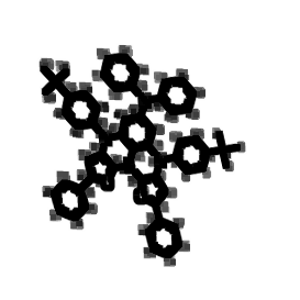 CC(C)(C)c1ccc(N2c3cc(-c4ccccc4)oc3B3c4oc(-c5ccccc5)cc4N(c4ccc(C(C)(C)C)cc4)c4cc(N(c5ccccc5)c5ccccc5)cc2c43)cc1